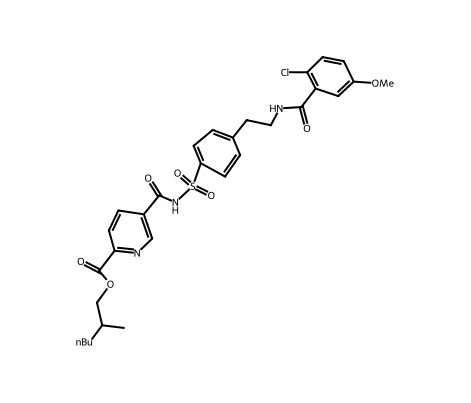 CCCCC(C)COC(=O)c1ccc(C(=O)NS(=O)(=O)c2ccc(CCNC(=O)c3cc(OC)ccc3Cl)cc2)cn1